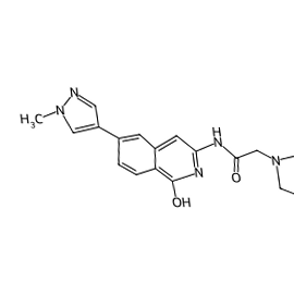 Cn1cc(-c2ccc3c(O)nc(NC(=O)CN4CCCC4)cc3c2)cn1